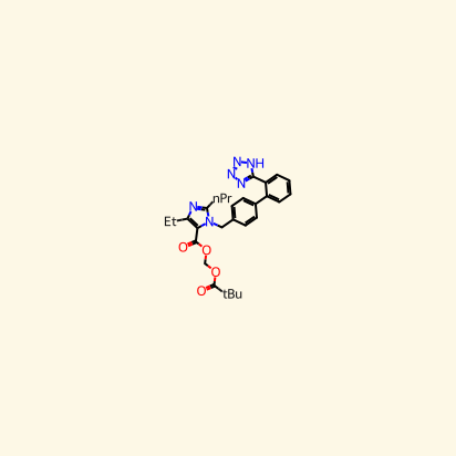 CCCc1nc(CC)c(C(=O)OCOC(=O)C(C)(C)C)n1Cc1ccc(-c2ccccc2-c2nnn[nH]2)cc1